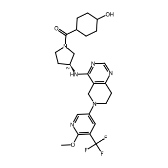 COc1ncc(N2CCc3ncnc(N[C@H]4CCN(C(=O)C5CCC(O)CC5)C4)c3C2)cc1C(F)(F)F